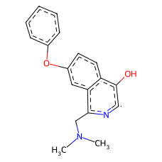 CN(C)Cc1n[c]c(O)c2ccc(Oc3ccccc3)cc12